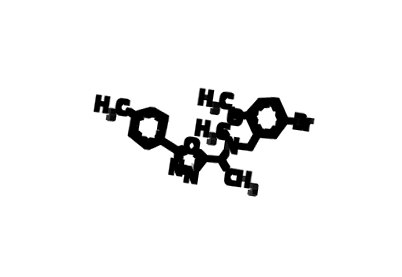 COc1ccc(Br)cc1CN(C)C(C)c1nnc(-c2ccc(C)cc2)o1